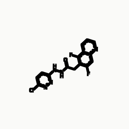 O=C(Cc1c(F)cc2ncccc2c1F)NNc1ccc(Cl)nn1